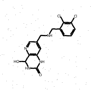 O=C1Nc2cc(CNCc3cccc(Cl)c3Cl)cnc2C(O)N1